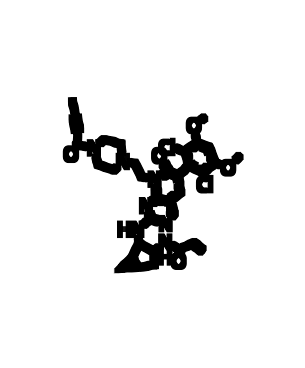 C=CC(=O)NC1CC2CC2C1Nc1ncc2cc(-c3c(Cl)c(OC)cc(OC)c3Cl)c(=O)n(CCN3CCN(C(=O)C#CC)CC3)c2n1